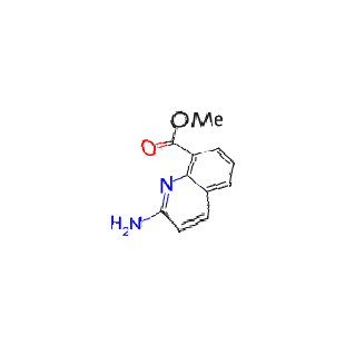 COC(=O)c1cccc2ccc(N)nc12